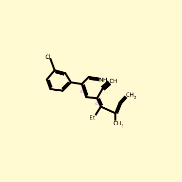 C#CC(/C=C(\C=N)c1cccc(Cl)c1)=C(/CC)C(C)=C=C